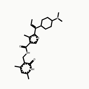 CC=C(c1scc(C(=O)NCc2c(C)cc(C)[nH]c2=O)c1C)C1CCC(N(C)C)CC1